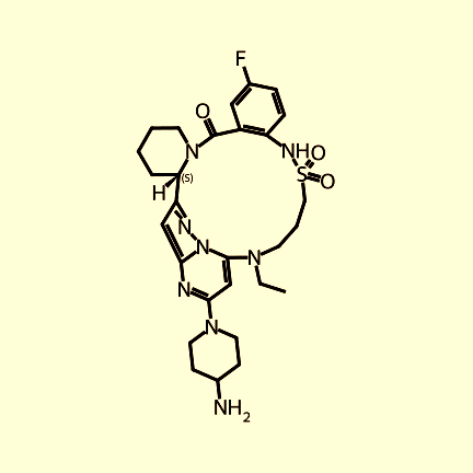 CCN1CCCS(=O)(=O)Nc2ccc(F)cc2C(=O)N2CCCC[C@H]2c2cc3nc(N4CCC(N)CC4)cc1n3n2